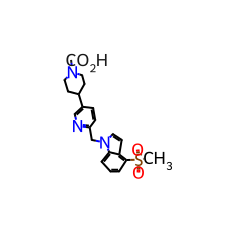 CS(=O)(=O)c1cccc2c1ccn2Cc1ccc(C2CCN(C(=O)O)CC2)cn1